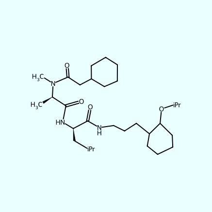 CC(C)C[C@@H](NC(=O)[C@@H](C)N(C)C(=O)CC1CCCCC1)C(=O)NCCCC1CCCCC1OC(C)C